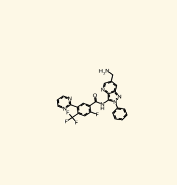 NCc1cnc2c(NC(=O)c3cc(-c4ncccn4)c(C(F)(F)F)cc3F)n(-c3ccccc3)nc2c1